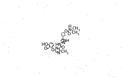 Cc1ncc(Oc2cccc(O)c2C=O)nc1C(=O)Nc1cc([C@H]2CC[C@@H](OC(=O)NC(C)C)C2)[nH]n1